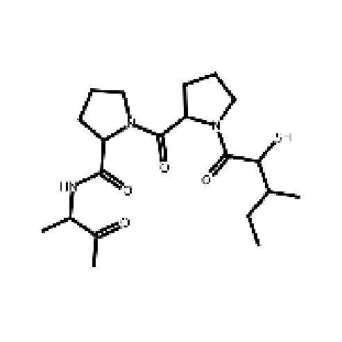 CCC(C)C(S)C(=O)N1CCCC1C(=O)N1CCCC1C(=O)NC(C)C(C)=O